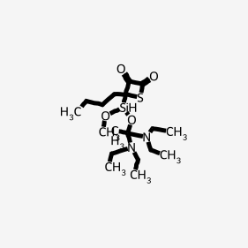 CCCCC1([SiH](OC)OC(C)(N(CC)CC)N(CC)CC)SC(=O)C1=O